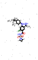 CC(=N)c1cc(C(=O)NS(=O)(=O)N2CCC2)c(F)cc1NC1CCC(C(C)(C)C)CC1